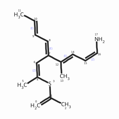 C=C(C)S\C(C)=C/C(=C\C=C\C)C(/C)=C/C=C\N